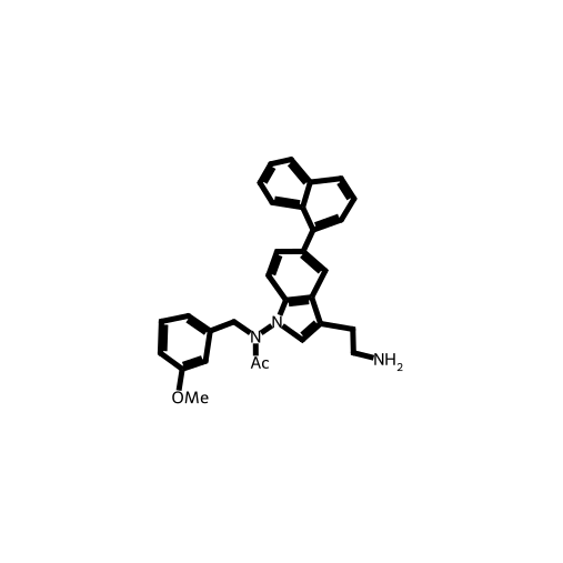 COc1cccc(CN(C(C)=O)n2cc(CCN)c3cc(-c4cccc5ccccc45)ccc32)c1